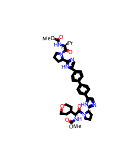 COC(=O)N[C@H](C(=O)N1CCCC1c1ncc(-c2ccc(-c3ccc(-c4cnc([C@@H]5CCCN5C(=O)[C@H](NC(=O)OC)C5CCOCC5)[nH]4)cc3)cc2)[nH]1)C(C)C